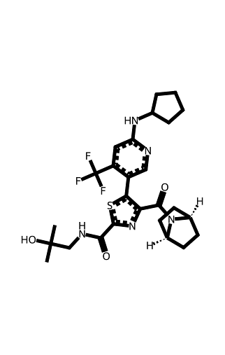 CC(C)(O)CNC(=O)c1nc(C(=O)N2[C@H]3CC[C@@H]2CC3)c(-c2cnc(NC3CCCC3)cc2C(F)(F)F)s1